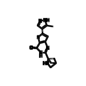 Cc1[nH]ncc1-c1cc2nc(C34CC(CN3)C4)[nH]c(=O)c2s1